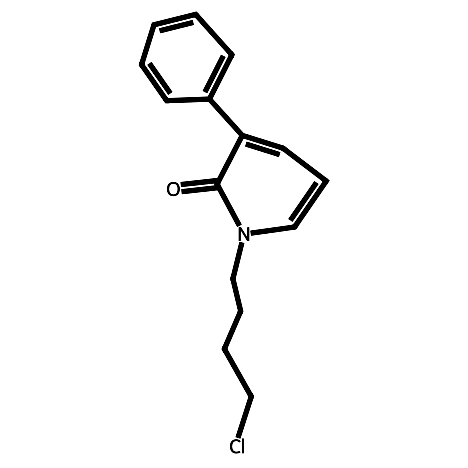 O=c1c(-c2ccccc2)cccn1CCCCCl